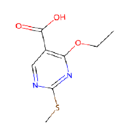 CCOc1nc(SC)ncc1C(=O)O